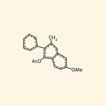 COc1ccc2c(OC(C)=O)c(-c3ccccc3)c(C)cc2c1